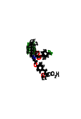 CCOC(Cc1ccc(OCCN(CC(F)(F)C(F)(F)C(F)(F)C(F)(F)C(F)(F)F)C(=O)Oc2ccc(Br)cc2)cc1)C(=O)O